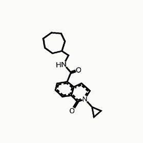 O=C(NCC1CCCCCC1)c1cccc2c(=O)n(C3CC3)ccc12